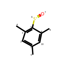 Cc1cc(C)c([S+]=O)c(C)c1